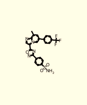 Cc1cc(-c2ccc(C(F)(F)F)cc2)cn2c(-c3nc(-c4ccc(S(N)(=O)=O)cc4)no3)cnc12